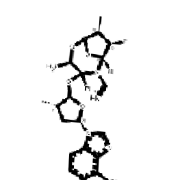 C[C@@H]1C2OC(P)C(P)(OC3O[C@@H](n4cnc5c(N)cccc54)C[C@@H]3C)N(C=N)[C@H](O2)[C@@H]1F